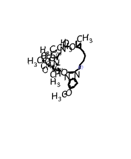 CCC12CC1CCC/C=C/c1nc3ccc(OC)cc3nc1O[C@H]1CN(C(=O)[C@H](C(C)(C)C)NC(=O)O2)[C@H](C(=O)OC(C)(C)C)[C@@H]1C